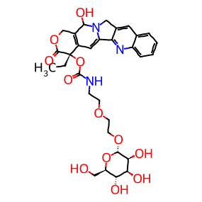 CC[C@@]1(OC(=O)NCCOCCO[C@H]2O[C@H](CO)[C@@H](O)[C@H](O)[C@@H]2O)C(=O)OCC2=C1C=C1c3nc4ccccc4cc3CN1C2O